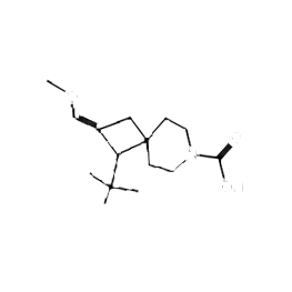 COC=C1CC2(CCN(C(=O)O)CC2)C1C(C)(C)C